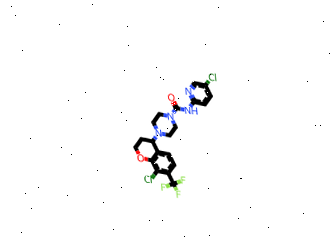 O=C(Nc1ccc(Cl)cn1)N1CCN(C2CCOc3c2ccc(C(F)(F)F)c3Cl)CC1